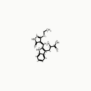 CCOC1=NNC(=O)/C1=C\c1[nH]c2ccccc2c1CC(N)C(=O)O